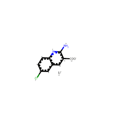 Nc1nc2ccc(Cl)cc2cc1C(=O)[O-].[Li+]